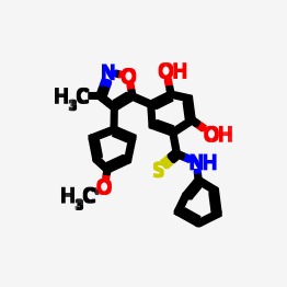 COc1ccc(-c2c(C)noc2-c2cc(C(=S)Nc3ccccc3)c(O)cc2O)cc1